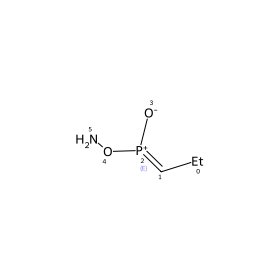 CC/C=[P+](\[O-])ON